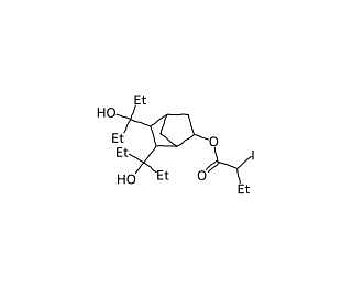 CCC(I)C(=O)OC1CC2CC1C(C(O)(CC)CC)C2C(O)(CC)CC